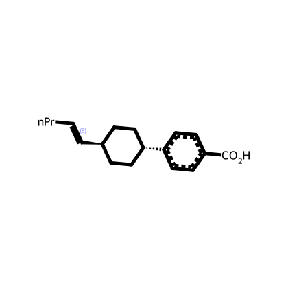 CCC/C=C/[C@H]1CC[C@H](c2ccc(C(=O)O)cc2)CC1